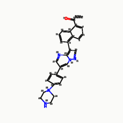 CNC(=O)c1cccc2c(-c3cnn4cc(-c5ccc(N6CCNCC6)cc5)cnc34)cccc12